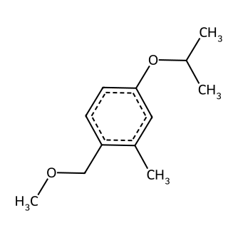 COCc1ccc(OC(C)C)cc1C